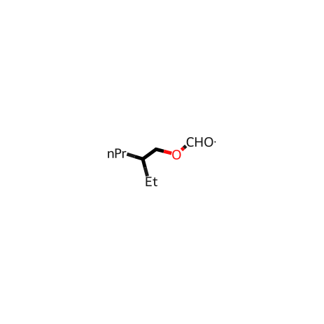 CCCC(CC)CO[C]=O